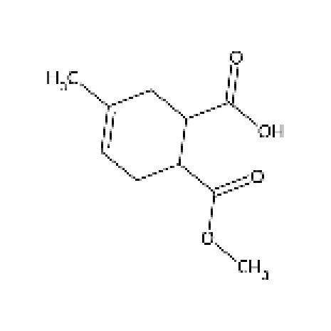 COC(=O)C1CC=C(C)CC1C(=O)O